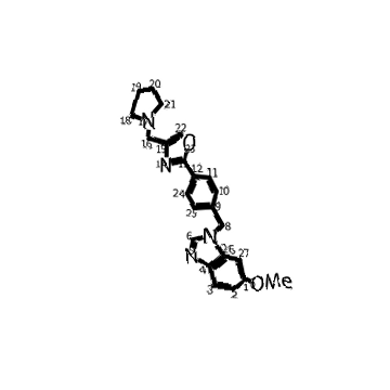 COc1ccc2ncn(Cc3ccc(-c4nc(CN5CCCC5)co4)cc3)c2c1